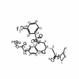 CC1CCN1C(=O)C[C@H]1CN(S(=O)(=O)c2cccc(C(F)(F)F)c2)c2cc(NC(=O)OC(C)(C)C)ccc2O1